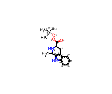 CC1NC(C(=O)OO[Si](C)(C)C(C)(C)C)Cc2c1[nH]c1ccccc21